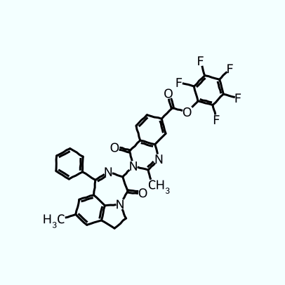 Cc1cc2c3c(c1)C(c1ccccc1)=NC(n1c(C)nc4cc(C(=O)Oc5c(F)c(F)c(F)c(F)c5F)ccc4c1=O)C(=O)N3CC2